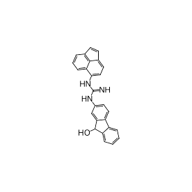 N=C(Nc1ccc2c(c1)C(O)c1ccccc1-2)Nc1ccc2c3c(cccc13)C=C2